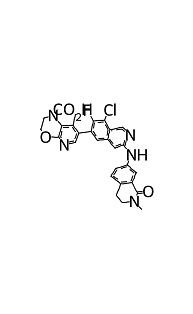 Cc1c(-c2cc3cc(Nc4ccc5c(c4)C(=O)N(C)CC5)ncc3c(Cl)c2F)cnc2c1N(C(=O)O)CCO2